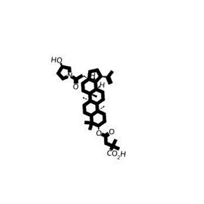 C=C(C)[C@@H]1CC[C@]2(CC(=O)N3CC[C@@H](O)C3)CC[C@]3(C)[C@H](CCC4[C@@]5(C)CC[C@H](OC(=O)CC(C)(C)C(=O)O)C(C)(C)C5CC[C@]43C)[C@@H]12